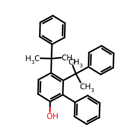 CC(C)(c1ccccc1)c1ccc(O)c(-c2ccccc2)c1C(C)(C)c1ccccc1